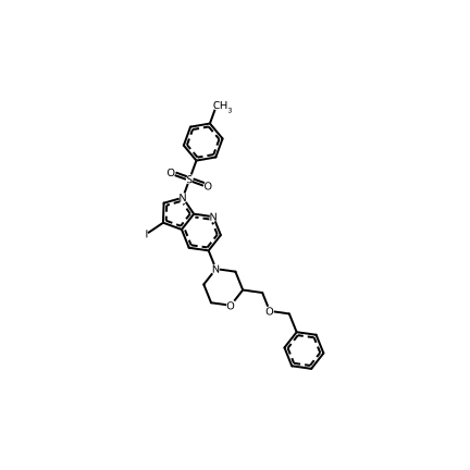 Cc1ccc(S(=O)(=O)n2cc(I)c3cc(N4CCOC(COCc5ccccc5)C4)cnc32)cc1